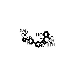 [2H]C([2H])([2H])N1C(=O)c2cccc(O)c2[C@H]2C[C@@H]1c1nn3ccc(-c4cnc(C5(NC(=O)OC(C)(C)C)CCC5)nc4)cc3c12